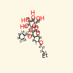 CC/C=C/CCOc1ccc2c(OCc3ccccc3)c(O[C@@H]3O[C@H](CO)[C@H](O)[C@H](O)[C@H]3O)c(=O)oc2c1